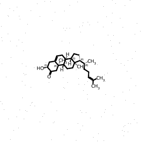 CC(C)=CCC[C@@H](C)[C@H]1CC[C@H]2[C@@H]3CC=C4C[C@H](O)C(=O)C[C@]4(C)[C@H]3CC[C@]12C